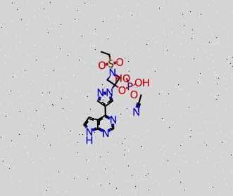 CC#N.CCS(=O)(=O)N1CC(OP(=O)(O)O)(n2cc(-c3ncnc4[nH]ccc34)cn2)C1